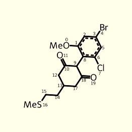 COc1cc(Br)cc(Cl)c1C1C(=O)CC(CCSC)CC1=O